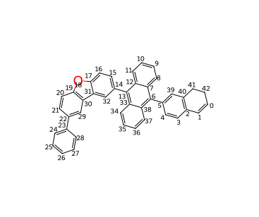 C1=Cc2ccc(-c3c4ccccc4c(-c4ccc5oc6ccc(-c7ccccc7)cc6c5c4)c4ccccc34)cc2CC1